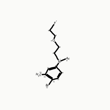 CC(=O)N(CCOCCF)c1ccc(Br)c(C)c1